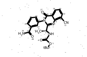 C[C@H](NC(=O)OC(C)(C)C)c1nc2c(C#N)cccc2c(=O)n1-c1cccc(C(N)=O)c1